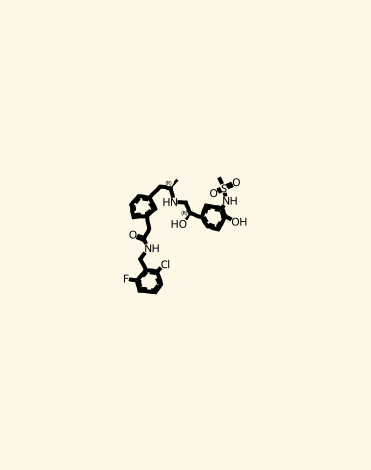 C[C@H](Cc1cccc(CC(=O)NCc2c(F)cccc2Cl)c1)NC[C@H](O)c1ccc(O)c(NS(C)(=O)=O)c1